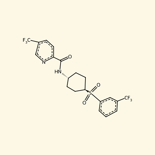 O=C(N[C@H]1CC[C@H](S(=O)(=O)c2cccc(C(F)(F)F)c2)CC1)c1ccc(C(F)(F)F)cn1